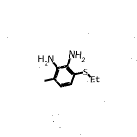 CCSc1ccc(C)c(N)c1N